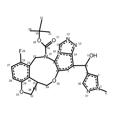 Cn1cc(C(O)c2cc3c(n4cnnc24)N(C(=O)OC(C)(C)C)Cc2c(F)ccc4c2[C@H](CO4)CO3)cn1